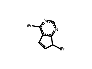 CC(C)c1ncnc2c1C=CC2C(C)C